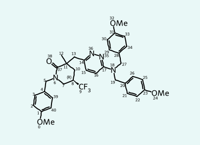 COc1ccc(CN2C[C@H](C(F)(F)F)CC(C)(Cc3ccc(N(Cc4ccc(OC)cc4)Cc4ccc(OC)cc4)nn3)C2=O)cc1